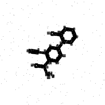 N#Cc1cc(-n2ccccc2=O)ccc1C(N)=O